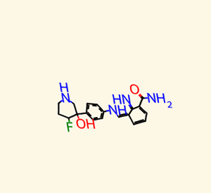 N=C1C(C(N)=O)=CC=C/C1=C/Nc1ccc(C2(O)CNCCC2F)cc1